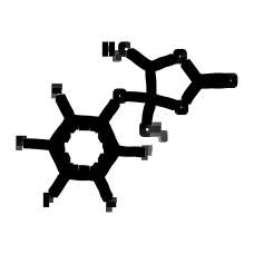 CC1OC(=O)OC1(C)Oc1c(F)c(F)c(F)c(F)c1F